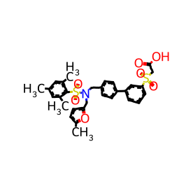 Cc1cc(C)c(S(=O)(=O)N(Cc2ccc(-c3cccc(S(=O)(=O)CC(=O)O)c3)cc2)Cc2ccc(C)o2)c(C)c1